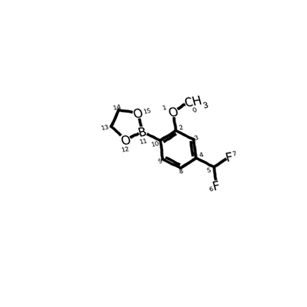 COc1cc(C(F)F)ccc1B1OCCO1